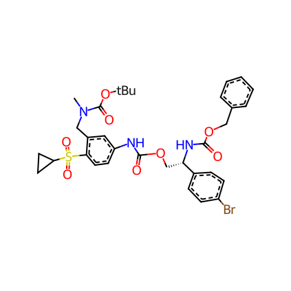 CN(Cc1cc(NC(=O)OC[C@H](NC(=O)OCc2ccccc2)c2ccc(Br)cc2)ccc1S(=O)(=O)C1CC1)C(=O)OC(C)(C)C